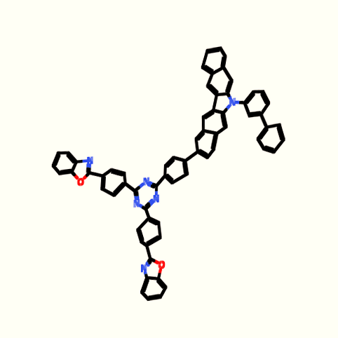 c1ccc(-c2cccc(-n3c4cc5ccccc5cc4c4cc5cc(-c6ccc(-c7nc(-c8ccc(-c9nc%10ccccc%10o9)cc8)nc(-c8ccc(-c9nc%10ccccc%10o9)cc8)n7)cc6)ccc5cc43)c2)cc1